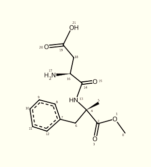 COC(=O)[C@](C)(Cc1ccccc1)NC(=O)[C@@H](N)CC(=O)O